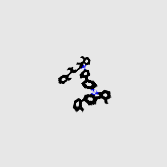 CC/C(=C\c1c(C)c2c(C)cccc2n1-c1ccc(-c2ccc(-n3c4cc(-c5ccccc5C)ccc4c4c(C)cccc43)cc2)cc1)c1ccccc1C